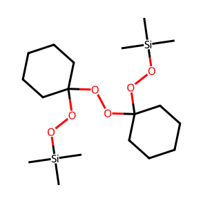 C[Si](C)(C)OOC1(OOC2(OO[Si](C)(C)C)CCCCC2)CCCCC1